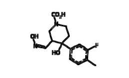 Cc1ccc(C2(O)CCN(C(=O)O)CC2/C=N\O)cc1F